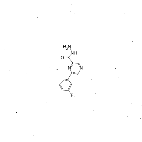 NNC(=O)c1cncc(-c2cccc(F)c2)n1